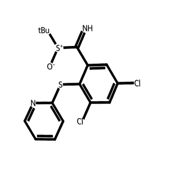 CC(C)(C)[S+]([O-])C(=N)c1cc(Cl)cc(Cl)c1Sc1ccccn1